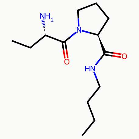 CCCCNC(=O)[C@@H]1CCCN1C(=O)[C@@H](N)CC